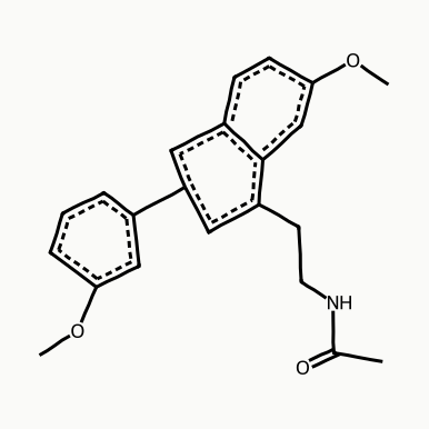 COc1cccc(-c2cc(CCNC(C)=O)c3cc(OC)ccc3c2)c1